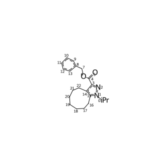 CC(C)n1nc(C(=O)OCc2ccccc2)c2c1CCCCCCC2